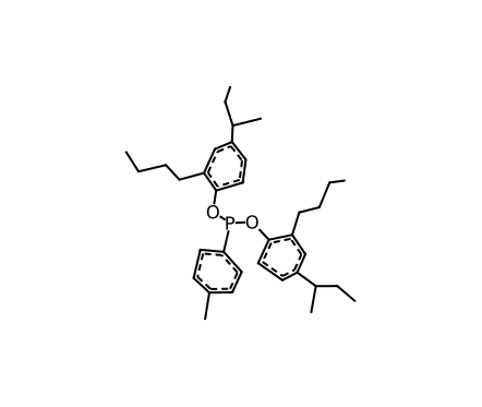 CCCCc1cc(C(C)CC)ccc1OP(Oc1ccc(C(C)CC)cc1CCCC)c1ccc(C)cc1